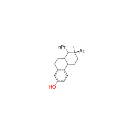 CCCC1C2CCc3cc(O)ccc3C2CC[C@]1(C)C(C)=O